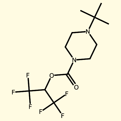 CC(C)(C)N1CCN(C(=O)OC(C(F)(F)F)C(F)(F)F)CC1